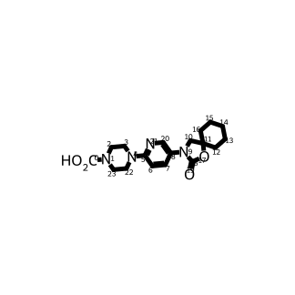 O=C(O)N1CCN(c2ccc(N3CC4(CCCCC4)OC3=O)cn2)CC1